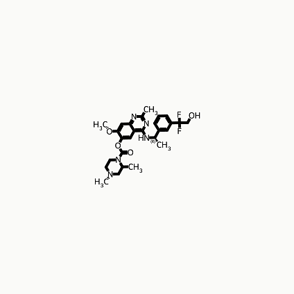 COc1cc2nc(C)nc(N[C@H](C)c3cccc(C(F)(F)CO)c3)c2cc1OC(=O)N1CCN(C)CC1C